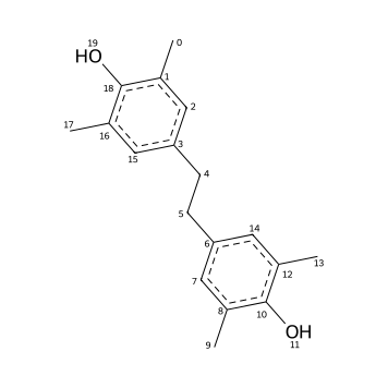 Cc1cc(CCc2cc(C)c(O)c(C)c2)cc(C)c1O